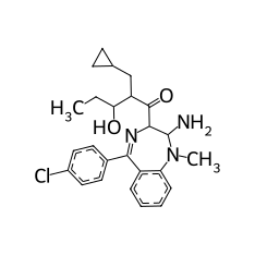 CCC(O)C(CC1CC1)C(=O)C1N=C(c2ccc(Cl)cc2)c2ccccc2N(C)C1N